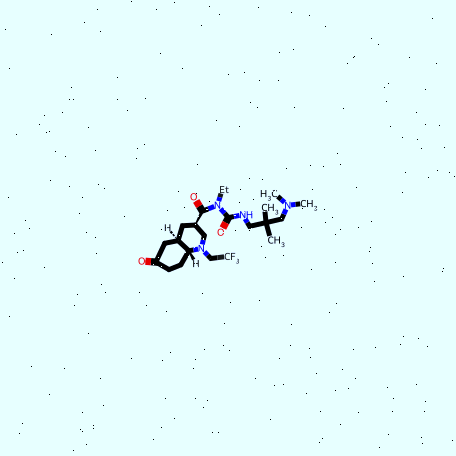 CCN(C(=O)NCC(C)(C)CN(C)C)C(=O)[C@@H]1C[C@@H]2CC(=O)CC[C@H]2N(CC(F)(F)F)C1